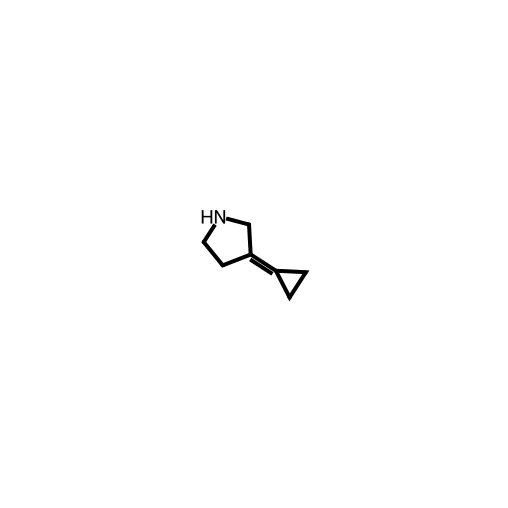 C1CC(=C2CC2)CN1